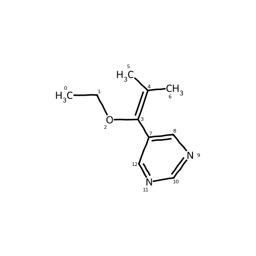 CCOC(=C(C)C)c1cncnc1